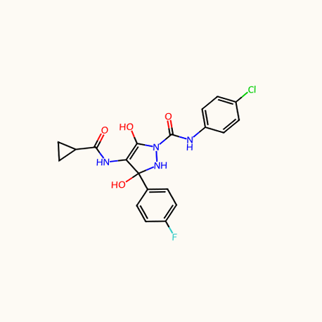 O=C(NC1=C(O)N(C(=O)Nc2ccc(Cl)cc2)NC1(O)c1ccc(F)cc1)C1CC1